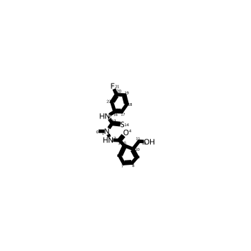 CN(NC(=O)c1ccccc1CO)C(=S)Nc1cccc(F)c1